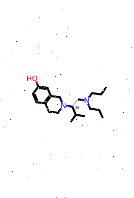 CCCN(CCC)C[C@H](C(C)C)N1CCc2ccc(O)cc2C1